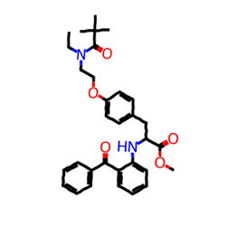 CCN(CCOc1ccc(CC(Nc2ccccc2C(=O)c2ccccc2)C(=O)OC)cc1)C(=O)C(C)(C)C